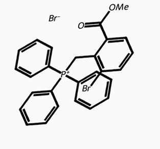 COC(=O)c1cccc(Br)c1C[P+](c1ccccc1)(c1ccccc1)c1ccccc1.[Br-]